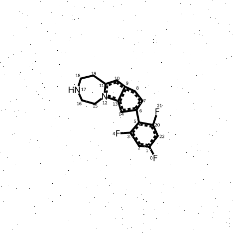 Fc1cc(F)c(-c2ccc3cc4n(c3c2)CCNCC4)c(F)c1